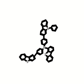 c1ccc(-n2c3ccccc3c3ccc(-c4ccc(N(c5ccc(-c6ccc7sc8ccccc8c7c6)cc5)c5cccc6c5sc5ccccc56)cc4)cc32)cc1